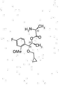 COc1cc(F)ccc1[C@@H](OCC1CC1)[C@H](C)OC(=O)[C@H](C)N